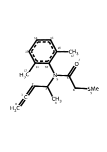 C=C=CC(C)N(C(=O)CSC)c1c(C)cccc1C